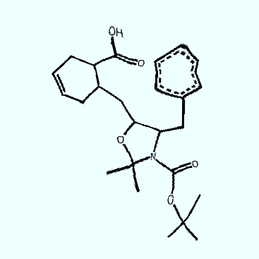 CC(C)(C)OC(=O)N1C(Cc2ccccc2)C(CC2CC=CCC2C(=O)O)OC1(C)C